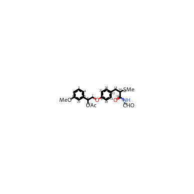 COc1cccc(C(COc2ccc(CC(SC)C(=O)NC=O)cc2)OC(C)=O)c1